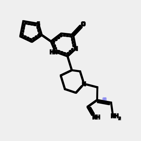 N=C/C(=C\N)CN1CCCC(c2nc(=O)cc(-c3cccs3)[nH]2)C1